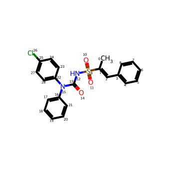 C/C(=C\c1ccccc1)S(=O)(=O)NC(=O)N(c1ccccc1)c1ccc(Cl)cc1